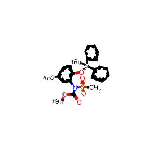 CC(=O)Oc1ccc(O[Si](c2ccccc2)(c2ccccc2)C(C)(C)C)c(N(C(=O)OC(C)(C)C)S(C)(=O)=O)c1